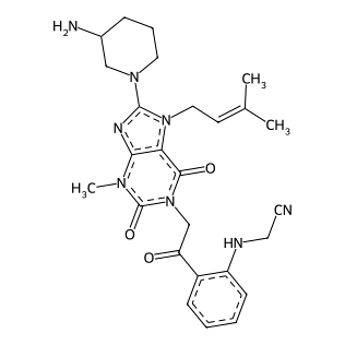 CC(C)=CCn1c(N2CCCC(N)C2)nc2c1c(=O)n(CC(=O)c1ccccc1NCC#N)c(=O)n2C